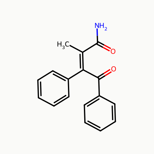 CC(C(N)=O)=C(C(=O)c1ccccc1)c1ccccc1